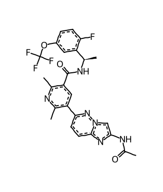 CC(=O)Nc1cn2nc(-c3cc(C(=O)N[C@H](C)c4cc(OC(F)(F)F)ccc4F)c(C)nc3C)ccc2n1